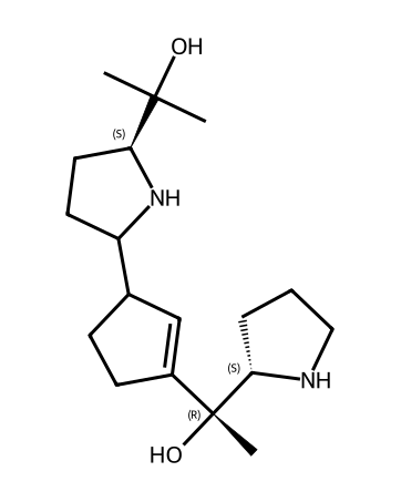 CC(C)(O)[C@@H]1CCC(C2C=C([C@@](C)(O)[C@@H]3CCCN3)CC2)N1